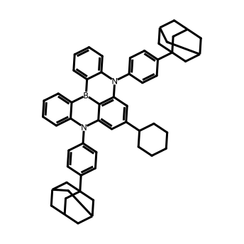 c1ccc2c(c1)B1c3ccccc3N(c3ccc(C45CC6CC(CC(C6)C4)C5)cc3)c3cc(C4CCCCC4)cc(c31)N2c1ccc(C23CC4CC(CC(C4)C2)C3)cc1